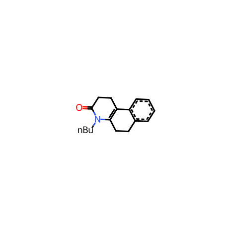 CCCCN1C(=O)CCC2=C1CCc1ccccc12